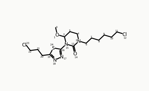 COC1CCN(CCCCCCCl)C(=O)N1c1nnc(CCCCl)s1